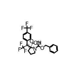 O=C(OCc1ccccc1)N1CCC[C@@]1(C(=O)O)[C@H](c1ccc(C(F)(F)F)cc1)C(F)(F)F